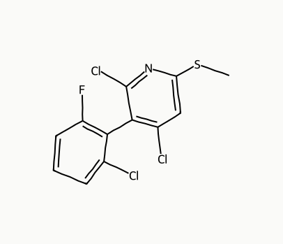 CSc1cc(Cl)c(-c2c(F)cccc2Cl)c(Cl)n1